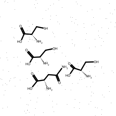 NC(=O)C[C@H](N)C(=O)O.N[C@@H](CO)C(=O)O.N[C@@H](CO)C(=O)O.N[C@@H](CS)C(=O)O